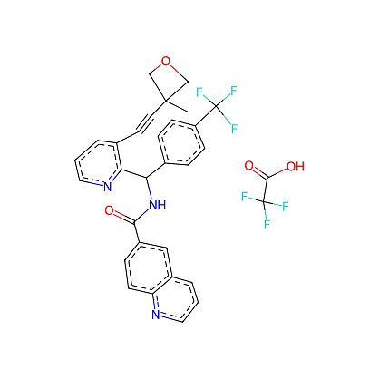 CC1(C#Cc2cccnc2C(NC(=O)c2ccc3ncccc3c2)c2ccc(C(F)(F)F)cc2)COC1.O=C(O)C(F)(F)F